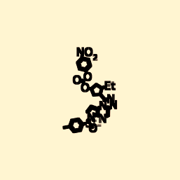 CCC1CC(OC(=O)Oc2ccc([N+](=O)[O-])cc2)CC1c1nnc2cnc3c(ccn3[S+]([O-])c3ccc(C)cc3)n12